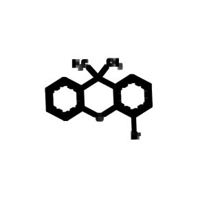 CC1(C)c2ccccc2Oc2c(Br)cccc21